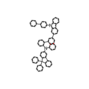 c1ccc(-c2ccc(-n3c4ccccc4c4ccc(-c5cccc(-c6ccccc6N(c6ccccc6)c6ccc7c(c6)-c6ccccc6C7(c6ccccc6)c6ccccc6)c5)cc43)cc2)cc1